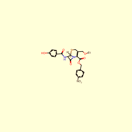 CCOCC1=C(C(=O)OCc2ccc([N+](=O)[O-])cc2)N2C(=O)C(NC(=O)c3ccc(O)cc3)[C@@H]2SC1